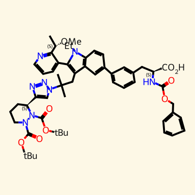 CCn1c(-c2cccnc2[C@H](C)OC)c(CC(C)(C)n2cc([C@@H]3CCCN(C(=O)OC(C)(C)C)N3C(=O)OC(C)(C)C)nn2)c2cc(-c3cccc(C[C@H](NC(=O)OCc4ccccc4)C(=O)O)c3)ccc21